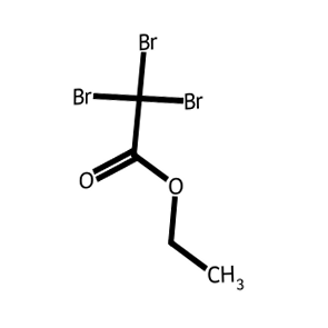 CCOC(=O)C(Br)(Br)Br